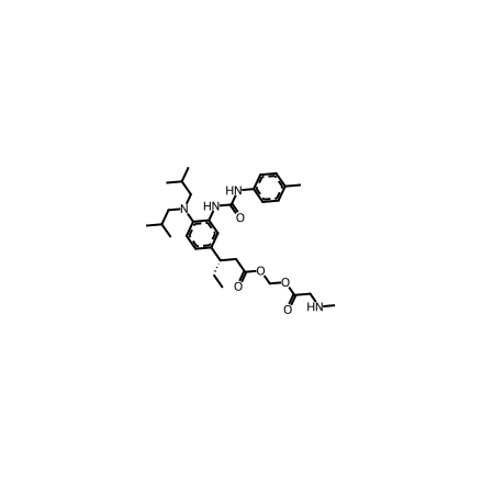 CC[C@@H](CC(=O)OCOC(=O)CNC)c1ccc(N(CC(C)C)CC(C)C)c(NC(=O)Nc2ccc(C)cc2)c1